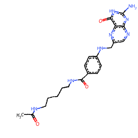 CC(=O)NCCCCCNC(=O)c1ccc(NCc2cnc3nc(N)[nH]c(=O)c3n2)cc1